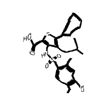 Cc1cc(S(=O)(=O)Nc2c(C(=O)O)sc(-c3ccccc3)c2CC(C)C)c(C)cc1Cl